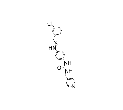 O=C(NCc1ccncc1)Nc1ccc(NSCc2cccc(Cl)c2)cc1